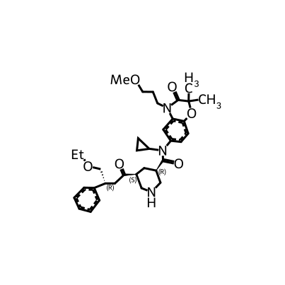 CCOC[C@H](CC(=O)[C@@H]1CNC[C@H](C(=O)N(c2ccc3c(c2)N(CCCOC)C(=O)C(C)(C)O3)C2CC2)C1)c1ccccc1